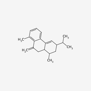 C=C1CC2C(=CC(C(C)C)CC2C)c2cccc(C)c21